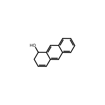 O[C]1CC=Cc2cc3ccccc3cc21